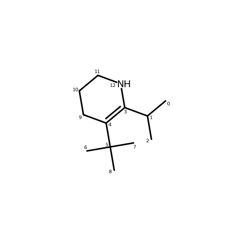 CC(C)C1=C(C(C)(C)C)CCCN1